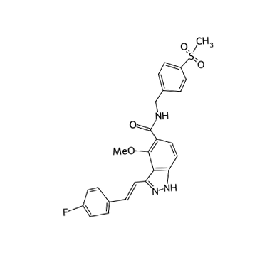 COc1c(C(=O)NCc2ccc(S(C)(=O)=O)cc2)ccc2[nH]nc(/C=C/c3ccc(F)cc3)c12